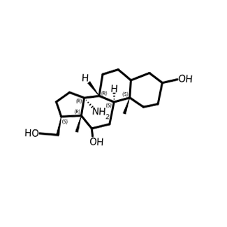 C[C@]12CCC(O)CC1CC[C@@H]1[C@@H]2CC(O)[C@]2(C)[C@@H](CO)CC[C@@]12N